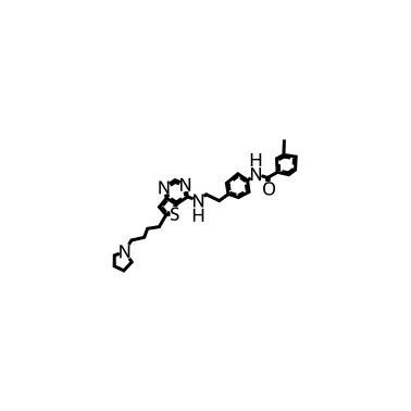 Cc1cccc(C(=O)Nc2ccc(CCNc3ncnc4cc(CCCCN5CCCC5)sc34)cc2)c1